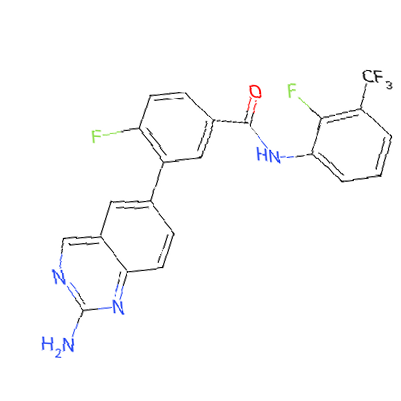 Nc1ncc2cc(-c3cc(C(=O)Nc4cccc(C(F)(F)F)c4F)ccc3F)ccc2n1